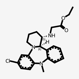 CCOC(=O)CN[C@H]1CCCN2c3cc(Cl)ccc3N(C)c3ccccc3[C@H]12